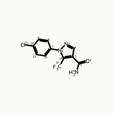 NC(=O)c1cnn(-c2ccc(Cl)cc2)c1C(F)(F)F